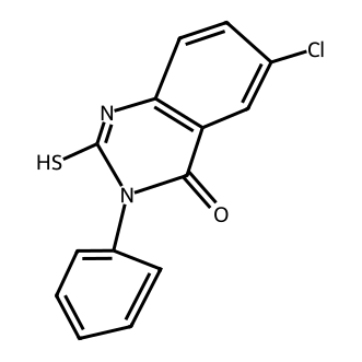 O=c1c2cc(Cl)ccc2nc(S)n1-c1ccccc1